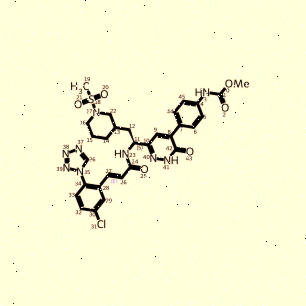 COC(=O)Nc1ccc(-c2cc([C@H](CC3CCCN(S(C)(=O)=O)C3)NC(=O)/C=C/c3cc(Cl)ccc3-n3cnnn3)n[nH]c2=O)cc1